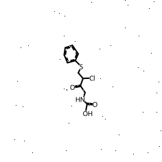 O=C(O)NCC(=O)C(Cl)CSc1ccccc1